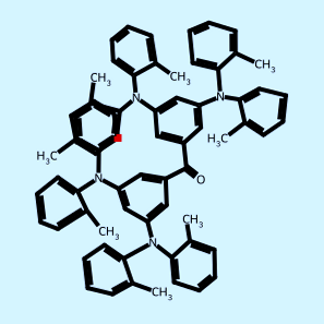 Cc1ccccc1N(c1cc(C(=O)c2cc(N(c3ccccc3C)c3ccccc3C)cc(N(c3ccccc3C)c3ccccc3C)c2)cc(N(c2ccccc2C)c2ccccc2C)c1)c1ccccc1C